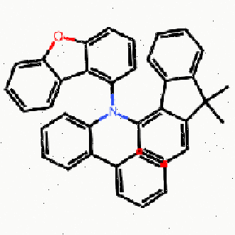 CC1(C)c2ccccc2-c2c(N(c3ccccc3-c3ccccc3)c3cccc4oc5ccccc5c34)cccc21